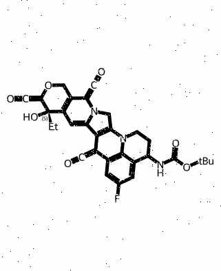 CC[C@@]1(O)C(=C=O)OCC2=C1C=C1C3=C(CN1C2=C=O)N1CCC(NC(=O)OC(C)(C)C)c2cc(F)cc(c21)C3=C=O